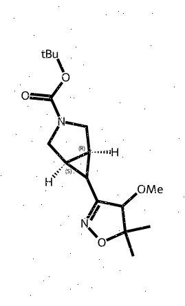 COC1C(C2[C@H]3CN(C(=O)OC(C)(C)C)C[C@@H]23)=NOC1(C)C